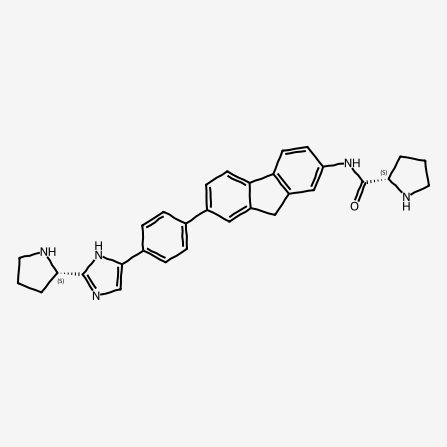 O=C(Nc1ccc2c(c1)Cc1cc(-c3ccc(-c4cnc([C@@H]5CCCN5)[nH]4)cc3)ccc1-2)[C@@H]1CCCN1